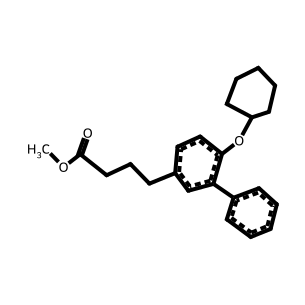 COC(=O)CCCc1ccc(OC2CCCCC2)c(-c2ccccc2)c1